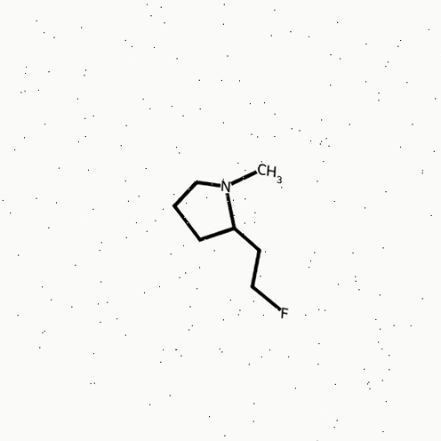 CN1CCCC1CCF